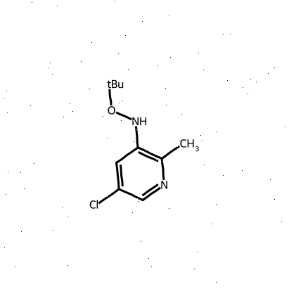 Cc1ncc(Cl)cc1NOC(C)(C)C